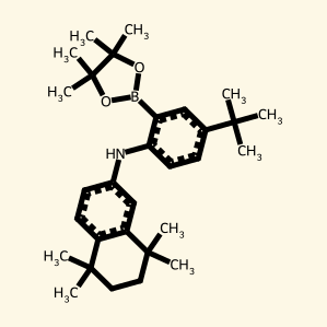 CC(C)(C)c1ccc(Nc2ccc3c(c2)C(C)(C)CCC3(C)C)c(B2OC(C)(C)C(C)(C)O2)c1